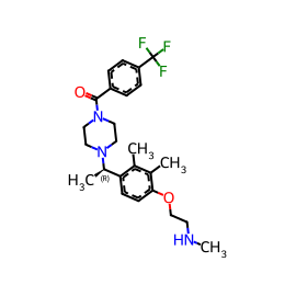 CNCCOc1ccc([C@@H](C)N2CCN(C(=O)c3ccc(C(F)(F)F)cc3)CC2)c(C)c1C